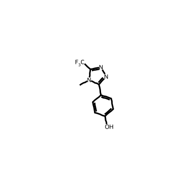 Cn1c(-c2ccc(O)cc2)nnc1C(F)(F)F